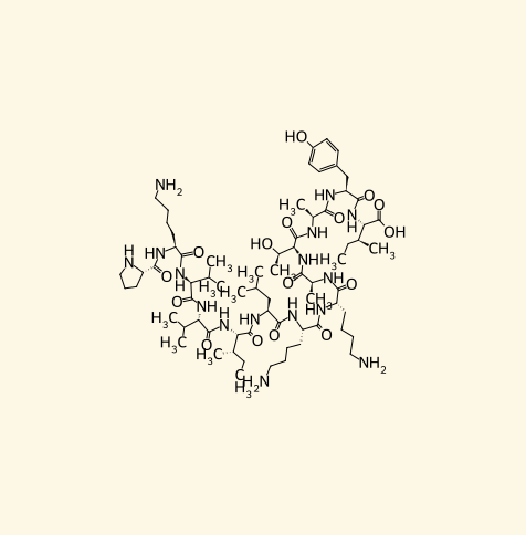 CC[C@H](C)[C@H](NC(=O)[C@H](Cc1ccc(O)cc1)NC(=O)[C@H](C)NC(=O)[C@@H](NC(=O)[C@H](C)NC(=O)[C@H](CCCCN)NC(=O)[C@H](CCCCN)NC(=O)[C@H](CC(C)C)NC(=O)[C@@H](NC(=O)[C@@H](NC(=O)[C@@H](NC(=O)[C@H](CCCCN)NC(=O)[C@@H]1CCCN1)C(C)C)C(C)C)[C@@H](C)CC)[C@@H](C)O)C(=O)O